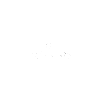 CNC(=O)C(OC(=O)C(F)(F)F)N1C[C@H](Cc2ccc(Cl)cc2)N(C2CCN(c3ccccn3)CC2)C[C@@H]1CC(C)C